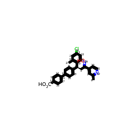 Cc1cc(/C(C[C@@H](c2ccc(-c3ccc(C(=O)O)cc3)cc2)c2ccc(Cl)cc2C)=N/O)ccn1